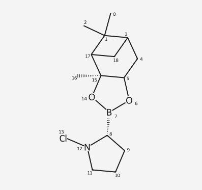 CC1(C)C2CC3OB([C@@H]4CCCN4Cl)O[C@@]3(C)C1C2